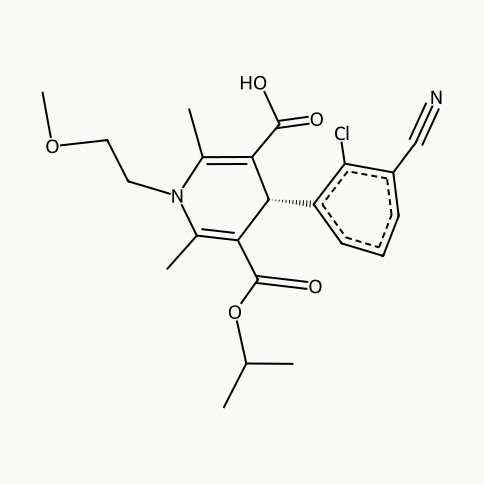 COCCN1C(C)=C(C(=O)O)[C@H](c2cccc(C#N)c2Cl)C(C(=O)OC(C)C)=C1C